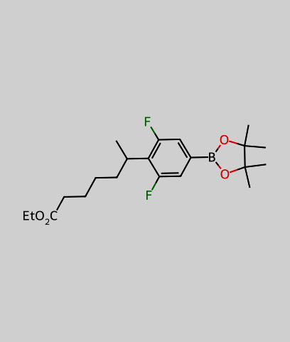 CCOC(=O)CCCCC(C)c1c(F)cc(B2OC(C)(C)C(C)(C)O2)cc1F